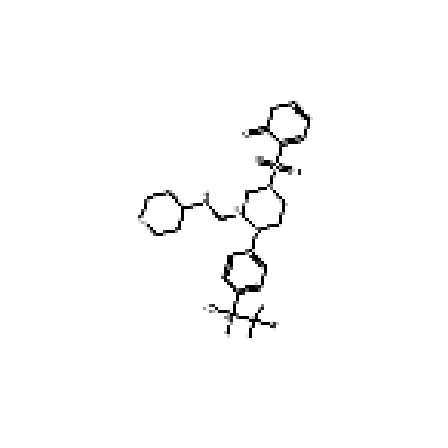 C[C@@](O)(c1ccc(N2CCN(S(=O)(=O)C3=CC=CCC3=S)C[C@@H]2CNC2CCOCC2)cc1)C(F)(F)F